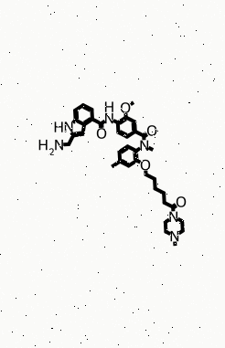 COc1cc(C(=O)N(C)c2ccc(C)cc2OCCCCCC(=O)N2CCN(C)CC2)ccc1NC(=O)c1cccc2[nH]c(CN)cc12